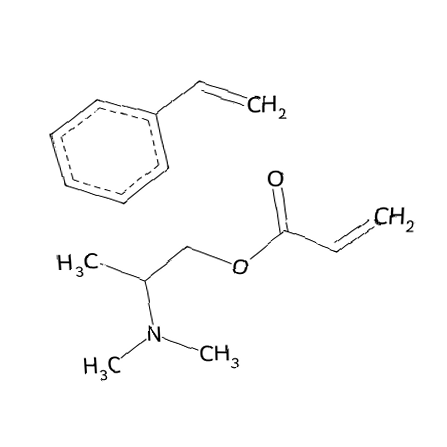 C=CC(=O)OCC(C)N(C)C.C=Cc1ccccc1